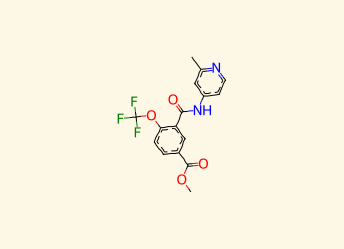 COC(=O)c1ccc(OC(F)(F)F)c(C(=O)Nc2ccnc(C)c2)c1